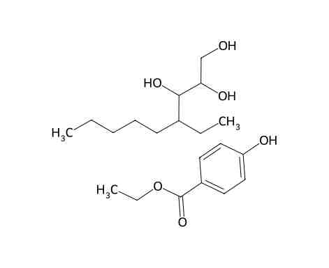 CCCCCC(CC)C(O)C(O)CO.CCOC(=O)c1ccc(O)cc1